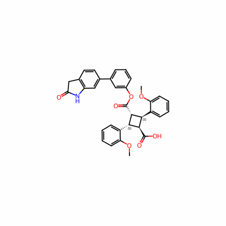 COc1ccccc1[C@H]1[C@H](C(=O)O)[C@H](c2ccccc2OC)[C@H]1C(=O)Oc1cccc(-c2ccc3c(c2)NC(=O)C3)c1